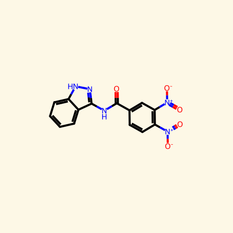 O=C(Nc1n[nH]c2ccccc12)c1ccc([N+](=O)[O-])c([N+](=O)[O-])c1